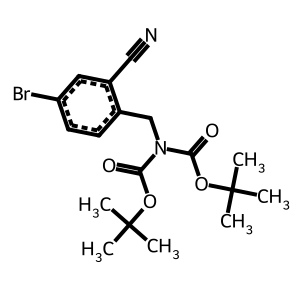 CC(C)(C)OC(=O)N(Cc1ccc(Br)cc1C#N)C(=O)OC(C)(C)C